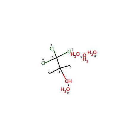 CC(C)(O)C(Cl)(Cl)Cl.O.O.O.O